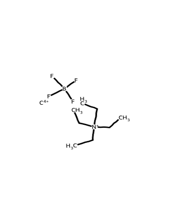 CC[N+](CC)(CC)CC.F[B-](F)(F)F.[C+4]